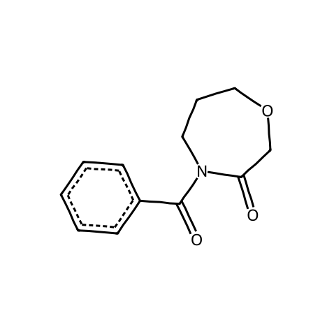 O=C1COCCCN1C(=O)c1ccccc1